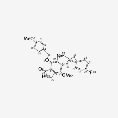 COc1ccc(COc2c3c(c(OC)c4cc(Cc5ccc(F)cc5)cnc24)CNC3=O)cc1